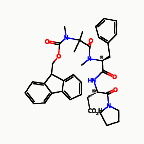 CN(C(=O)C(C)(C)N(C)C(=O)OCC1c2ccccc2-c2ccccc21)[C@@H](Cc1ccccc1)C(=O)N[C@@H](CC(=O)O)C(=O)N1CCCC1